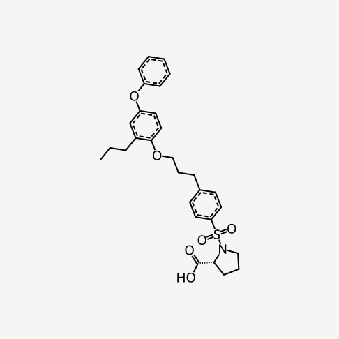 CCCc1cc(Oc2ccccc2)ccc1OCCCc1ccc(S(=O)(=O)N2CCC[C@@H]2C(=O)O)cc1